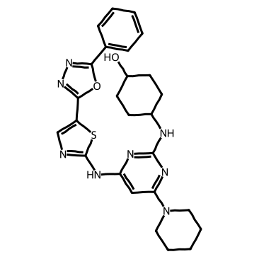 OC1CCC(Nc2nc(Nc3ncc(-c4nnc(-c5ccccc5)o4)s3)cc(N3CCCCC3)n2)CC1